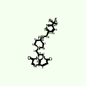 O=c1ccc2ncc(=O)n3c2n1CC3CN1CCC(NCc2ccc(C(F)(F)F)nn2)CC1